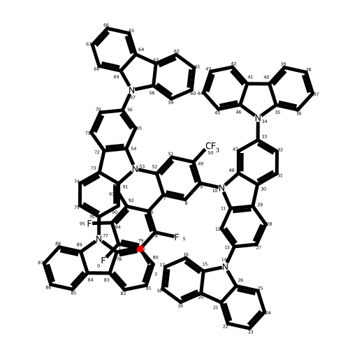 Fc1c(F)c(F)c(-c2cc(-n3c4cc(-n5c6ccccc6c6ccccc65)ccc4c4ccc(-n5c6ccccc6c6ccccc65)cc43)c(C(F)(F)F)cc2-n2c3cc(-n4c5ccccc5c5ccccc54)ccc3c3ccc(-n4c5ccccc5c5ccccc54)cc32)c(F)c1F